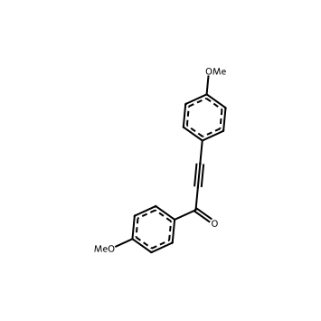 COc1ccc(C#CC(=O)c2ccc(OC)cc2)cc1